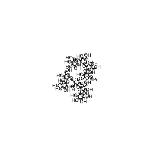 CCCO[C@@H]1OC(CO[C@@H]2OC(CO[C@H]3OC(CO)[C@@H](O)[C@H](O)C3O[C@H]3OC(CO)[C@@H](O)[C@H](O)C3O)[C@@H](O)[C@H](O[C@H]3OC(CO)[C@@H](O)C(O)C3O[C@H]3OC(CO)[C@@H](O)C(O)C3O)C2O)[C@@H](O)[C@H](O[C@H]2OC(CO)[C@@H](O)C(O)C2O[C@H]2OC(CO)[C@@H](O)C(O)C2O[C@H]2OC(CO)[C@@H](O)C(O)C2O)C1O